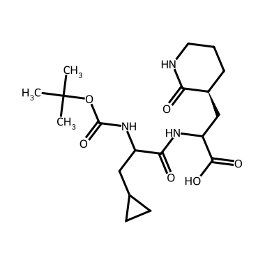 CC(C)(C)OC(=O)NC(CC1CC1)C(=O)NC(C[C@@H]1CCCNC1=O)C(=O)O